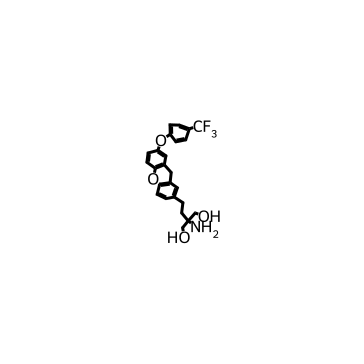 NC(CO)(CO)CCc1ccc2c(c1)Cc1cc(Oc3ccc(C(F)(F)F)cc3)ccc1O2